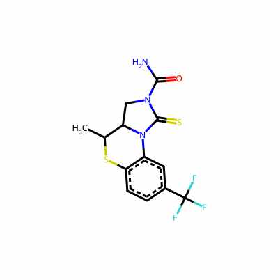 CC1Sc2ccc(C(F)(F)F)cc2N2C(=S)N(C(N)=O)CC12